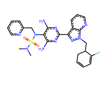 CN(C)S(=O)(=O)N(Cc1ccccn1)c1c(N)nc(-c2nn(CC3CC=CC=C3F)c3ncccc23)nc1N